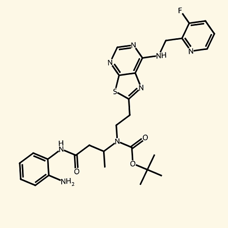 CC(CC(=O)Nc1ccccc1N)N(CCc1nc2c(NCc3ncccc3F)ncnc2s1)C(=O)OC(C)(C)C